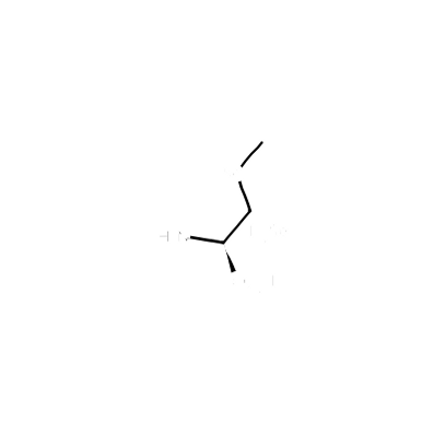 C[Se]C[C@H](N)C(=O)O.[SeH2]